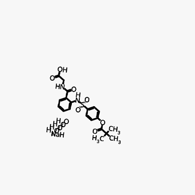 CC(C)(C)C(=O)Oc1ccc(S(=O)(=O)Nc2ccccc2C(=O)NCC(=O)O)cc1.O.O.O.O.[NaH]